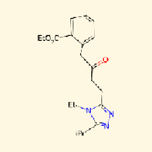 CCOC(=O)c1ccccc1CC(=O)CCc1nnc(C(C)C)n1CC